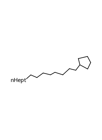 CCCCCCCCCCCCCCCC1CCCC1